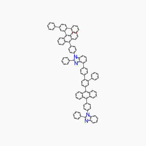 c1ccc(-c2ccc(-c3ccccc3)c(-c3c4ccccc4c(-c4ccc(-n5c(-c6ccccc6)nc6c(-c7ccc(-c8ccc(-c9c%10ccccc%10c(-c%10ccc(-n%11c(-c%12ccccc%12)nc%12ccccc%12%11)cc%10)c%10ccccc9%10)cc8-c8ccccc8)cc7)cccc65)cc4)c4ccccc34)c2)cc1